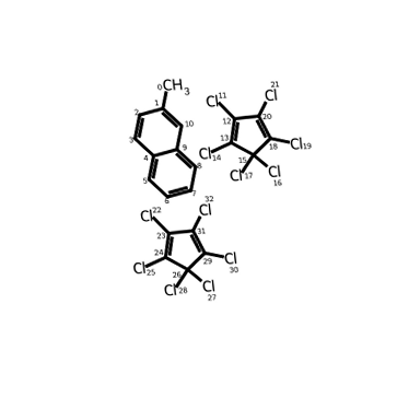 Cc1ccc2ccccc2c1.ClC1=C(Cl)C(Cl)(Cl)C(Cl)=C1Cl.ClC1=C(Cl)C(Cl)(Cl)C(Cl)=C1Cl